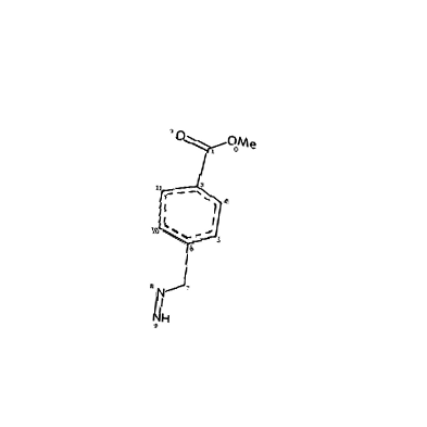 COC(=O)c1ccc(CN=N)cc1